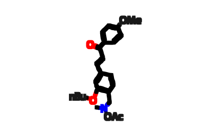 CCCCOc1cc(/C=C/C(=O)c2ccc(OC)cc2)ccc1CN(C)OC(C)=O